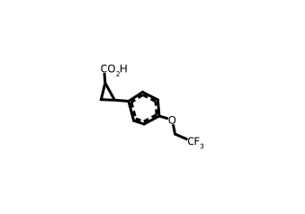 O=C(O)C1CC1c1ccc(OCC(F)(F)F)cc1